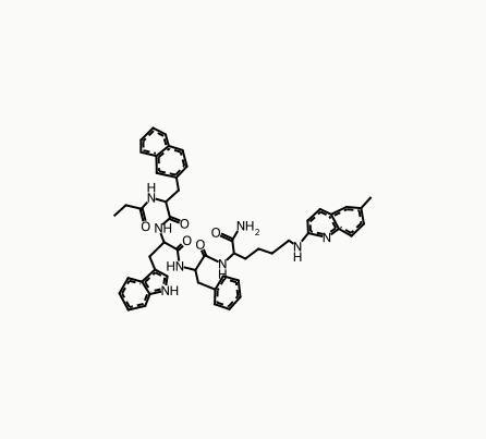 CCC(=O)NC(Cc1ccc2ccccc2c1)C(=O)NC(Cc1c[nH]c2ccccc12)C(=O)NC(Cc1ccccc1)C(=O)NC(CCCCNc1ccc2cc(C)ccc2n1)C(N)=O